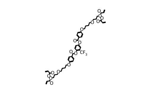 C=CC(=O)OCC(COCCCCOc1ccc(C(=O)Oc2ccc(OC(=O)c3ccc(OCCCCOCC(COC(=O)C=C)OC(=O)C=C)cc3)c(C(F)(F)F)c2)cc1)OC(=O)C=C